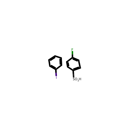 Ic1ccccc1.O=S(=O)(O)c1ccc(F)cc1